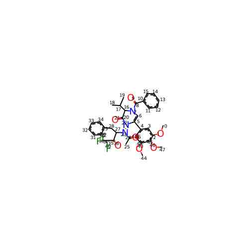 COc1cc(C2=CN(C(=O)c3ccccc3)C(C(C)C)C(=O)N2N(C(C)=O)C(Cc2ccccc2)C(=O)C(F)(F)F)cc(OC)c1OC